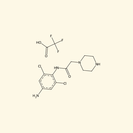 Nc1cc(Cl)c(NC(=O)CN2CCNCC2)c(Cl)c1.O=C(O)C(F)(F)F